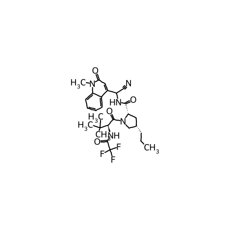 CCC[C@H]1C[C@@H](C(=O)NC(C#N)c2cc(=O)n(C)c3ccccc23)N(C(=O)[C@@H](NC(=O)C(F)(F)F)C(C)(C)C)C1